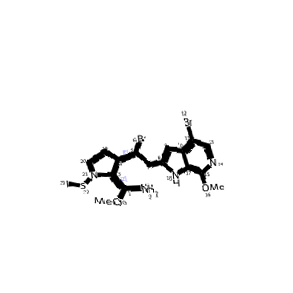 CO/C(N)=c1/c(=C(/Br)Cc2cc3c(Br)cnc(OC)c3[nH]2)ccn1SI